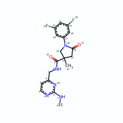 CCNc1nccc(CNC(=O)C2(C)CC(=O)N(c3cc(F)cc(F)c3)C2)n1